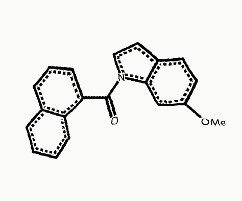 COc1ccc2ccn(C(=O)c3cccc4ccccc34)c2c1